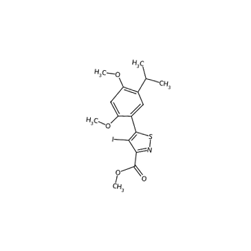 COC(=O)c1nsc(-c2cc(C(C)C)c(OC)cc2OC)c1I